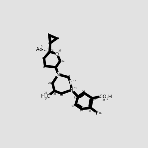 CC(=O)[C@@]1(C2CC2)CCC(N2CCN(c3ccc(F)c(C(=O)O)c3)CC(C)C2)CO1